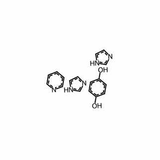 Oc1ccc(O)cc1.c1c[nH]cn1.c1c[nH]cn1.c1ccncc1